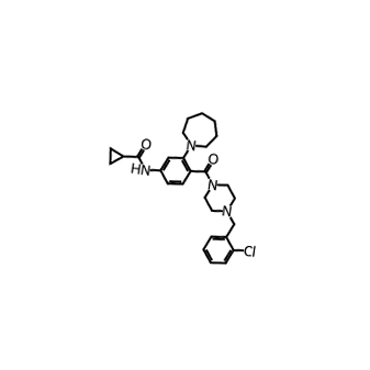 O=C(Nc1ccc(C(=O)N2CCN(Cc3ccccc3Cl)CC2)c(N2CCCCCC2)c1)C1CC1